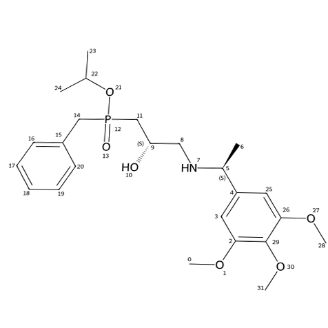 COc1cc([C@H](C)NC[C@H](O)CP(=O)(Cc2ccccc2)OC(C)C)cc(OC)c1OC